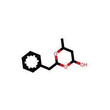 CC1CC(O)OC(Cc2ccccc2)O1